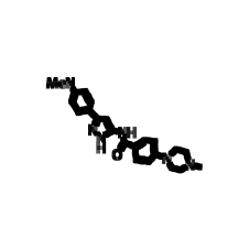 CNc1ccc(-c2cc(NC(=O)c3ccc(N4CCN(C)CC4)cc3)[nH]n2)cc1